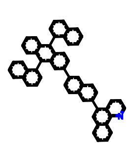 c1ccc2c(-c3c4ccccc4c(-c4cccc5ccccc45)c4cc(-c5ccc6cc(-c7cc8ccccc8c8ncccc78)ccc6c5)ccc34)cccc2c1